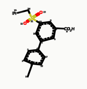 Cc1ccc(-c2cc(C(=O)O)cc(S(=O)(=O)CC(C)C)c2)cc1